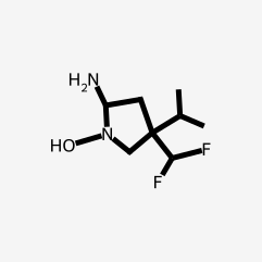 CC(C)C1(C(F)F)CC(N)N(O)C1